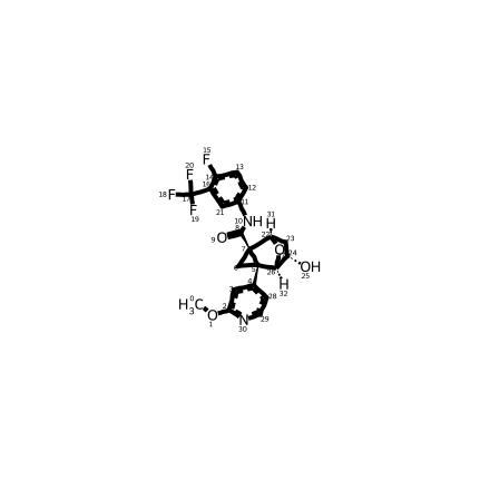 COc1cc([C@@]23C[C@]2(C(=O)Nc2ccc(F)c(C(F)(F)F)c2)[C@H]2C[C@H](O)[C@@H]3O2)ccn1